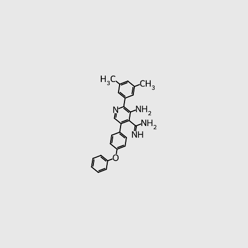 Cc1cc(C)cc(-c2ncc(-c3ccc(Oc4ccccc4)cc3)c(C(=N)N)c2N)c1